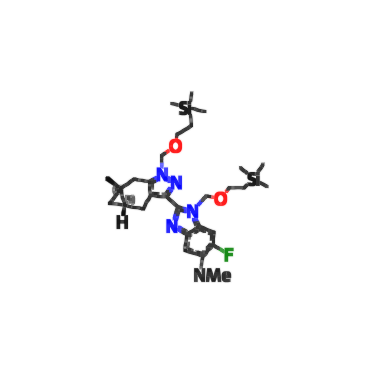 CNc1cc2nc(-c3nn(COCC[Si](C)(C)C)c4c3C[C@@H]3C[C@]3(C)C4)n(COCC[Si](C)(C)C)c2cc1F